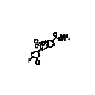 CCS(=O)(=O)N(Cc1ccc(C(=O)NN)cn1)c1ccc(F)c(Cl)c1